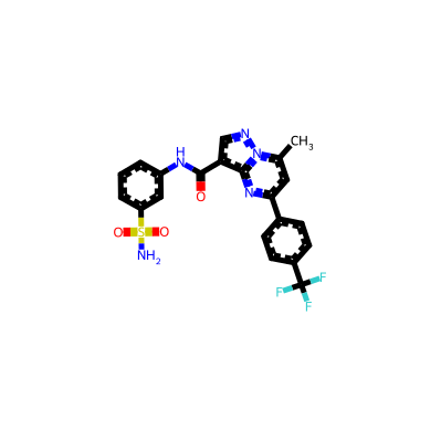 Cc1cc(-c2ccc(C(F)(F)F)cc2)nc2c(C(=O)Nc3cccc(S(N)(=O)=O)c3)cnn12